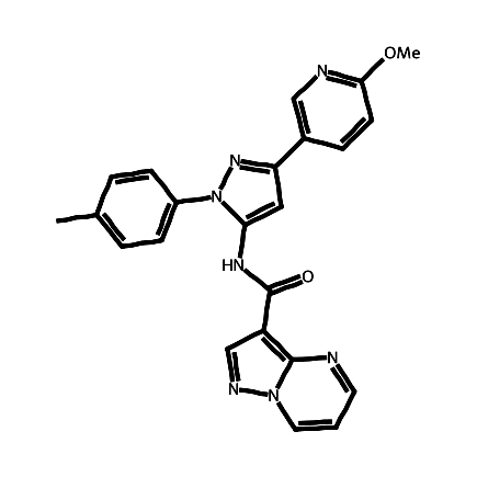 COc1ccc(-c2cc(NC(=O)c3cnn4cccnc34)n(-c3ccc(C)cc3)n2)cn1